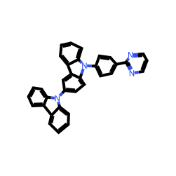 c1cnc(-c2ccc(-n3c4ccccc4c4cc(-n5c6ccccc6c6ccccc65)ccc43)cc2)nc1